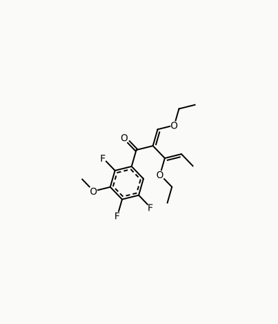 CC=C(OCC)/C(=C\OCC)C(=O)c1cc(F)c(F)c(OC)c1F